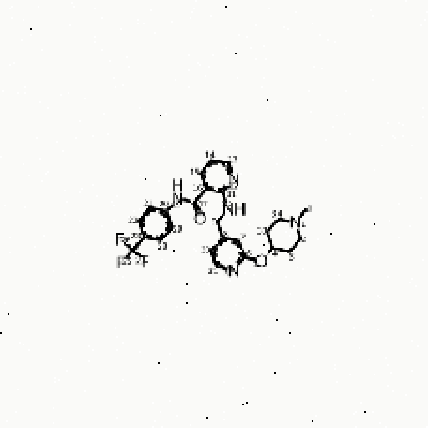 CN1CCC(Oc2cc(CNc3ncccc3C(=O)Nc3ccc(C(F)(F)F)cc3)ccn2)CC1